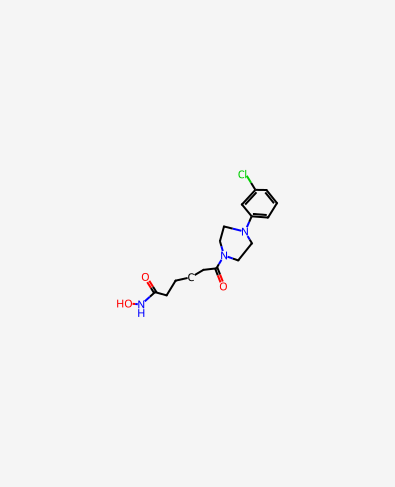 O=C(CCCCC(=O)N1CCN(c2cccc(Cl)c2)CC1)NO